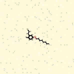 CCCCCCCCOc1ccc(C)c(CCC)c1